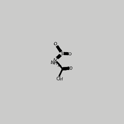 N.O=C(O)N=S(=O)=O